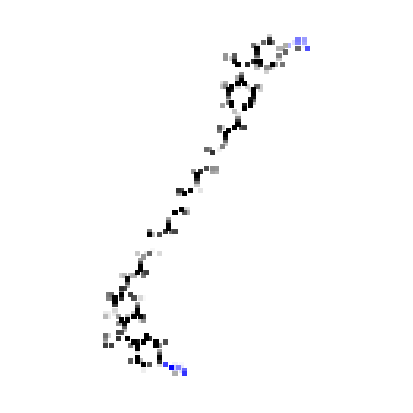 CCC(c1ccc(N)cc1)c1ccc(CCCCCCCCCCCCCCCCc2ccc(C(CC)c3ccc(N)cc3)cc2)cc1